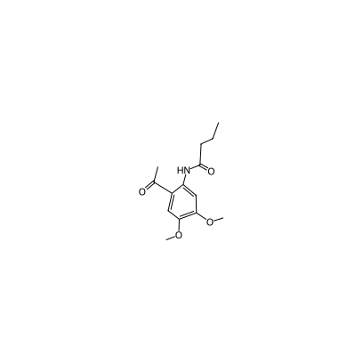 CCCC(=O)Nc1cc(OC)c(OC)cc1C(C)=O